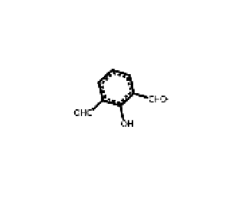 O=[C]c1cccc([C]=O)c1O